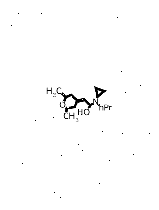 CCCN(C(O)C=C1CC(C)OC(C)C1)C1CC1